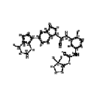 Cc1ncc(NC(=O)CN2CCCC2(C)C)cc1NC(=O)c1cnn2cc(-c3cnn4c3CNCC4C)ncc12